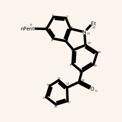 CCCCCc1ccc2c(c1)c1cc(C(=O)c3ccccc3)ccc1n2CC